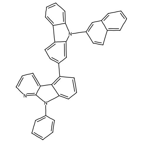 c1ccc(-n2c3cccc(-c4ccc5c6ccccc6n(-c6ccc7ccccc7c6)c5c4)c3c3cccnc32)cc1